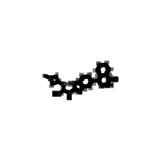 CN1CC(OC(O)Nc2nc3cc(-c4n[nH]c(=O)c5ccccc45)ccc3[nH]2)C1